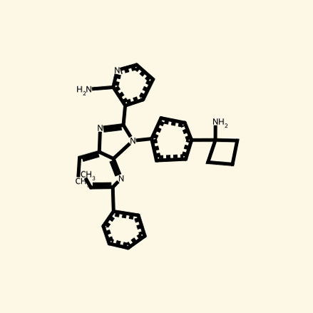 C\C=C(/N=C1\C(=C/C)N=C(c2cccnc2N)N1c1ccc(C2(N)CCC2)cc1)c1ccccc1